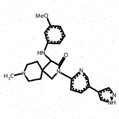 COc1cccc(NC2C(=O)N(c3ccc(-c4cn[nH]c4)cn3)CC23CCN(C)CC3)c1